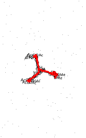 COc1ccc(C(OCC2(C)CN(C(=O)CCCCCCCCC(=O)NCC(=O)Nc3cc(C(=O)NCCOCCOCCOCCOC4O[C@H](COC(C)=O)[C@H](OC(C)=O)[C@H](OC(C)=O)[C@H]4NC(C)=O)cc(C(=O)NCCOCCOCCOCCOC4O[C@H](COC(C)=O)[C@H](OC(C)=O)[C@H](OC(C)=O)[C@H]4NC(C)=O)c3)CC2(C)CO)(c2ccccc2)c2ccc(OC)cc2)cc1